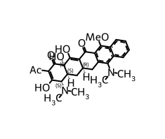 COc1c2c(c(N(C)C)c3ccccc13)C[C@H]1C[C@H]3[C@H](N(C)C)C(O)=C(C(C)=O)C(=O)[C@@]3(O)C(O)=C1C2=O